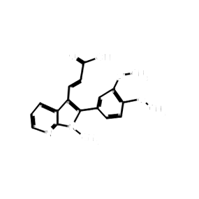 COc1ccc(-c2c(C=CC(=O)O)c3cccnc3n2C)cc1OC